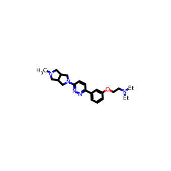 CCN(CC)CCOc1cccc(-c2ccc(N3CC4CN(C)CC4C3)nn2)c1